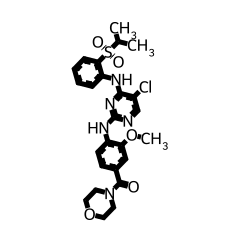 COc1cc(C(=O)N2CCOCC2)ccc1Nc1ncc(Cl)c(Nc2ccccc2S(=O)(=O)C(C)C)n1